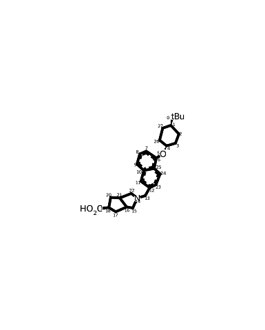 CC(C)(C)[C@H]1CC[C@H](Oc2cccc3cc(CN4CC5CC(C(=O)O)CC5C4)ccc23)CC1